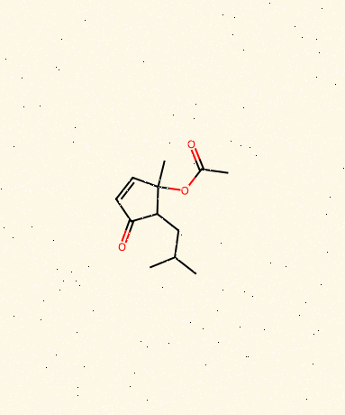 CC(=O)OC1(C)C=CC(=O)C1CC(C)C